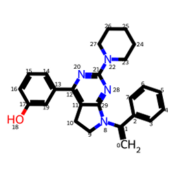 C=C(c1ccccc1)N1CCc2c(-c3cccc(O)c3)nc(N3CCCCC3)nc21